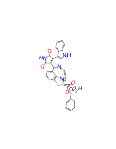 O=C(O)CC[N@@+]12C=CN=C(C3=C(c4c[nH]c5ccccc45)C(=O)NC3=O)c3cccc(c31)CC2C(=O)OCc1ccccc1